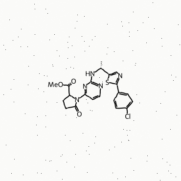 COC(=O)C1CCC(=O)N1c1ccnc(N[C@H](C)c2cnc(-c3ccc(Cl)cc3)s2)n1